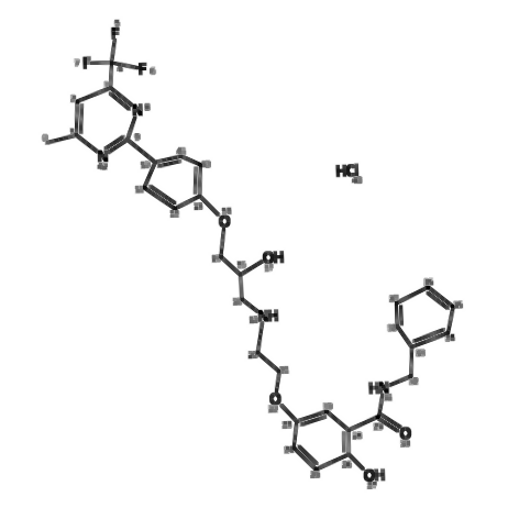 Cc1cc(C(F)(F)F)nc(-c2ccc(OCC(O)CNCCOc3ccc(O)c(C(=O)NCc4ccccc4)c3)cc2)n1.Cl